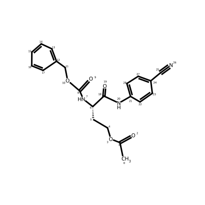 CC(=O)OCC[C@H](NC(=O)OCc1ccccc1)C(=O)Nc1ccc(C#N)cc1